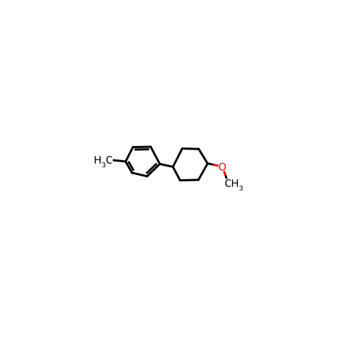 COC1CCC(c2ccc(C)cc2)CC1